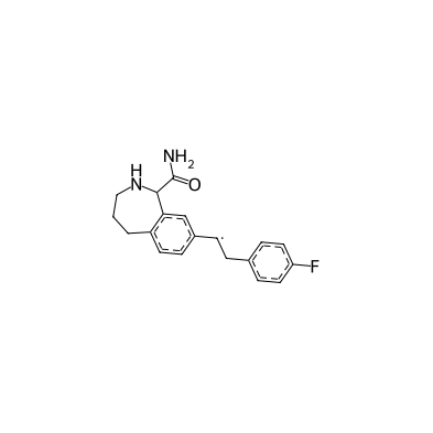 NC(=O)C1NCCCc2ccc([CH]Cc3ccc(F)cc3)cc21